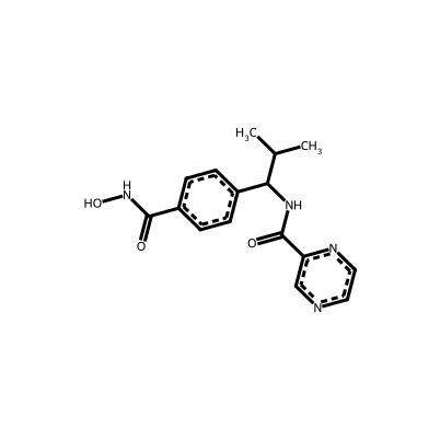 CC(C)C(NC(=O)c1cnccn1)c1ccc(C(=O)NO)cc1